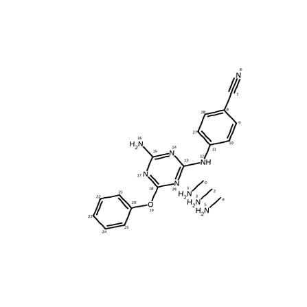 CN.CN.CN.N#Cc1ccc(Nc2nc(N)nc(Oc3ccccc3)n2)cc1